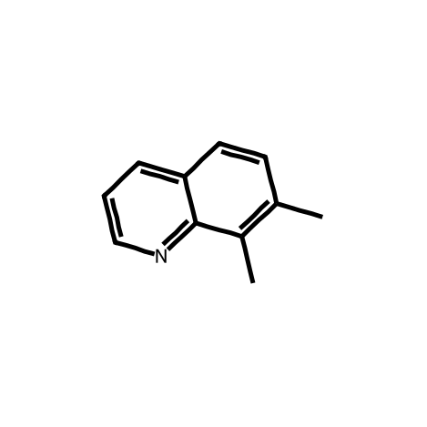 Cc1ccc2cccnc2c1C